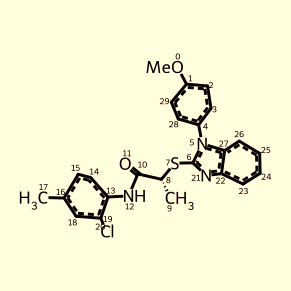 COc1ccc(-n2c(S[C@H](C)C(=O)Nc3ccc(C)cc3Cl)nc3ccccc32)cc1